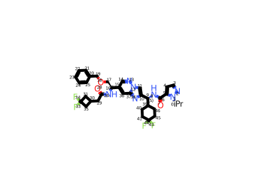 CC(C)n1nccc1C(=O)N[C@H](c1cn2ncc([C@H](COCc3ccccc3)NC(=O)CC3CC(F)(F)C3)cc2n1)C1CCC(F)(F)CC1